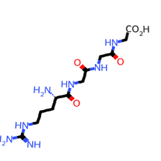 N=C(N)NCCC[C@H](N)C(=O)NCC(=O)NCC(=O)NCC(=O)O